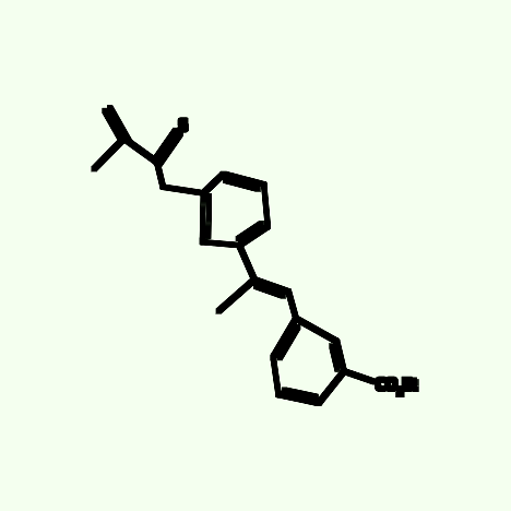 C=C(C)C(=S)Cc1cccc(C(C)=Cc2cccc(C(=O)OCC)c2)c1